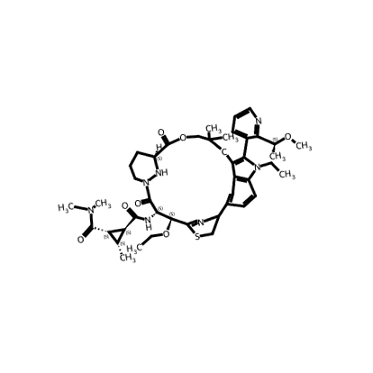 CCO[C@@H]1C2=NC(CS2)c2ccc3c(c2)c(c(-c2cccnc2[C@H](C)OC)n3CC)CC(C)(C)COC(=O)[C@@H]2CCCN(N2)C(=O)[C@H]1NC(=O)[C@H]1[C@H](C)[C@@H]1C(=O)N(C)C